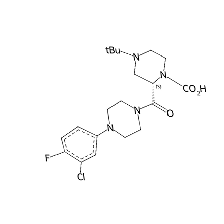 CC(C)(C)N1CCN(C(=O)O)[C@H](C(=O)N2CCN(c3ccc(F)c(Cl)c3)CC2)C1